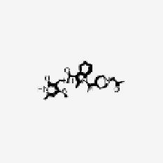 COc1cc(C)[nH]c(=O)c1CNC(=O)c1c(C)n([C@H](C)C2CCN(CC(C)=O)CC2)c2ccccc12